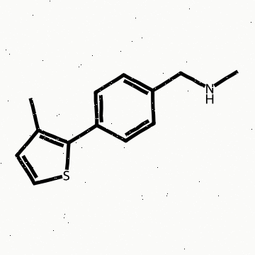 CNCc1ccc(-c2sccc2C)cc1